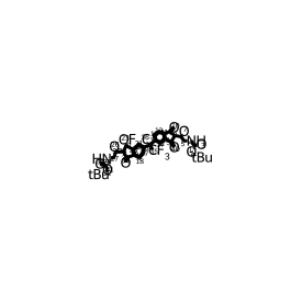 CC(C)(C)OC(=O)NCC(=O)C1C(=O)c2ccc(C(c3ccc4c(c3)C(=O)C(C(=O)CNC(=O)OC(C)(C)C)C4=O)(C(F)(F)F)C(F)(F)F)cc2C1=O